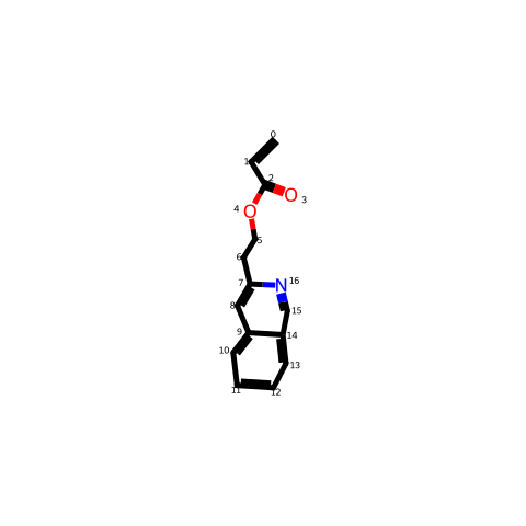 C=CC(=O)OCCc1cc2ccccc2cn1